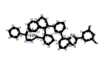 Cc1cc(C)cc(-c2nc3c(-c4cccc(-c5ccc6ccccc6c5-c5ccccc5C(=N)/C=C\C(=N)c5ccccc5)c4)cccc3s2)c1